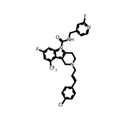 O=C(NCc1ccnc(F)c1)n1c2c(c3c(C(F)(F)F)cc(F)cc31)CN(CC=Cc1ccc(Cl)cc1)CC2